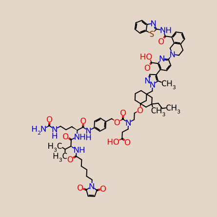 CCCC1(C)CC2(Cn3ncc(-c4ccc(N5CCc6cccc(C(=O)Nc7nc8ccccc8s7)c6C5)nc4C(=O)O)c3C)CCCC(OCCN(CCC(=O)O)C(=O)OCc3ccc(NC(=O)[C@H](CCCNC(N)=O)NC(=O)[C@@H](NC(=O)CCCCCN4C(=O)C=CC4=O)C(C)C)cc3)(C1)C2